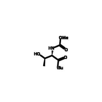 COC(=O)N[C@H](C(=O)C(C)(C)C)[C@@H](C)O